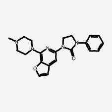 CN1CCN(c2nc(N3CCN(c4ccccc4)C3=O)cc3ccoc23)CC1